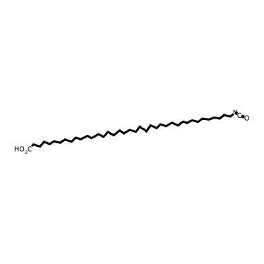 O=C=NCCCCCCCCCCCCCCCCCCCCCCCCCCCCCCCCCCCCCCC(=O)O